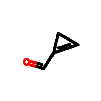 O=CC1=CC1